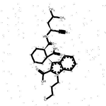 CC(C)C[C@@H](C#N)NC(=O)[C@@H]1CCCC[C@@]1(C(N)=O)c1c(C(=O)O)n(CCCCl)c2ccccc12